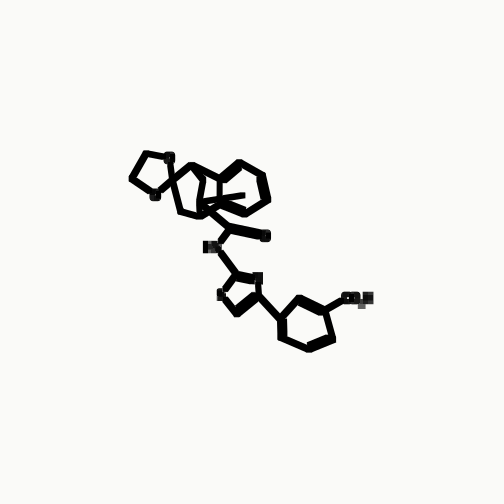 CC1(C(=O)Nc2nc(-c3cccc(C(=O)O)c3)cs2)CC2c3ccccc3C1CC21OCCO1